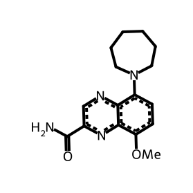 COc1ccc(N2CCCCCC2)c2ncc(C(N)=O)nc12